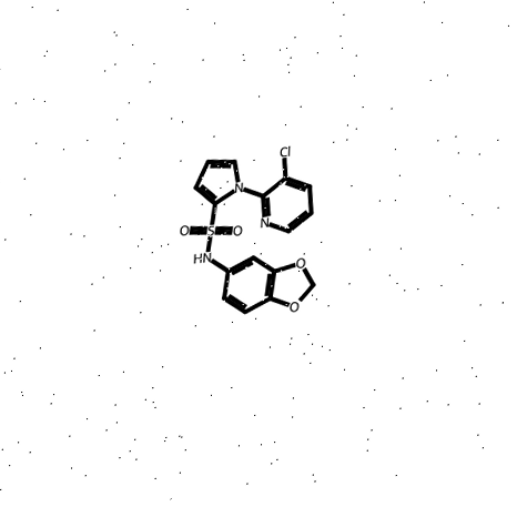 O=S(=O)(Nc1ccc2c(c1)OCO2)c1cccn1-c1ncccc1Cl